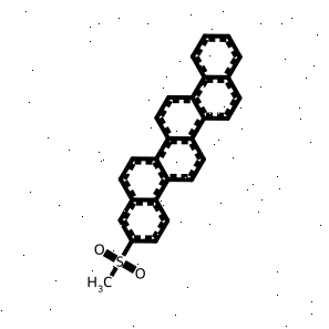 CS(=O)(=O)c1ccc2c(ccc3c2ccc2c4ccc5ccccc5c4ccc32)c1